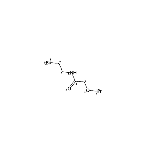 CC(C)OCC(=O)NCCC(C)(C)C